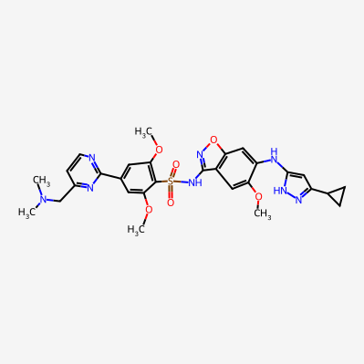 COc1cc2c(NS(=O)(=O)c3c(OC)cc(-c4nccc(CN(C)C)n4)cc3OC)noc2cc1Nc1cc(C2CC2)n[nH]1